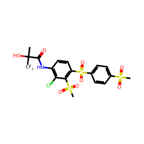 CC(O)(C(=O)Nc1ccc(S(=O)(=O)c2ccc(S(C)(=O)=O)cc2)c(S(C)(=O)=O)c1Cl)C(F)(F)F